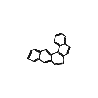 c1ccc2cc3c(ccc4ccc5ccccc5c43)cc2c1